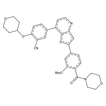 COc1cc(-c2cc3nccc(-c4ccc(OC5CCOCC5)c(C#N)c4)c3o2)ccc1C(=O)N1CCOCC1